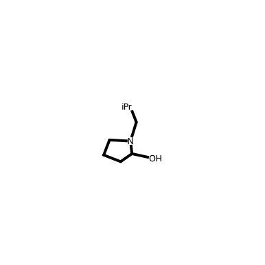 CC(C)CN1CCCC1O